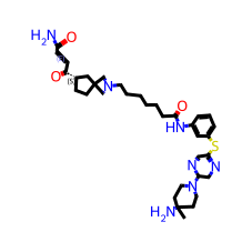 CC1(N)CCN(C2CN=C(Sc3cccc(NC(=O)CCCCCCN4CC5(CC[C@H](C(=O)/C=C/C(N)=O)C5)C4)c3)C=N2)CC1